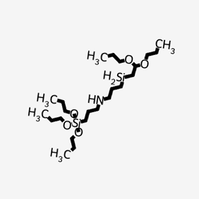 CCCOC(C[SiH2]CCCNCCC[Si](OCCC)(OCCC)OCCC)OCCC